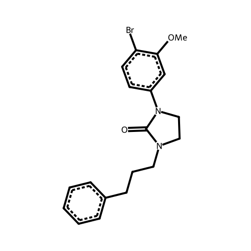 COc1cc(N2CCN(CCCc3ccccc3)C2=O)ccc1Br